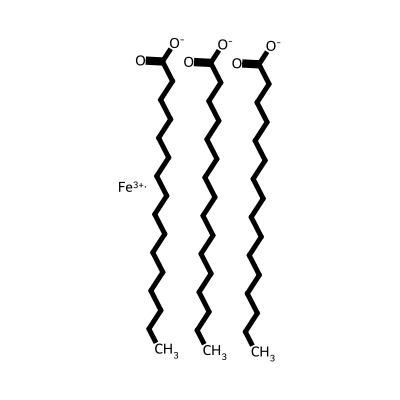 CCCCCCCCCCCCCCCC(=O)[O-].CCCCCCCCCCCCCCCC(=O)[O-].CCCCCCCCCCCCCCCC(=O)[O-].[Fe+3]